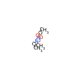 Cc1ccc(S(=O)(=O)N2CCCN(c3cccc(C)c3C)CC2)cc1